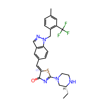 CC[C@@H]1CN(C2=NC(=O)/C(=C/c3ccc4c(cnn4Cc4ccc(C)cc4C(F)(F)F)c3)S2)CCN1